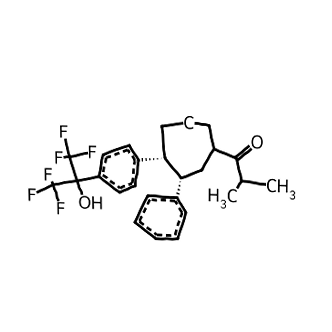 CC(C)C(=O)C1CCC[C@@H](c2ccc(C(O)(C(F)(F)F)C(F)(F)F)cc2)[C@@H](c2ccccc2)C1